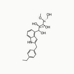 CCc1ccc(Cc2cc3c(C(O)[C@@H](O)[C@H](O)[C@@H](CO)OC)cccc3[nH]2)cc1